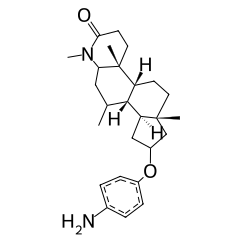 CC1CC2N(C)C(=O)CC[C@]2(C)[C@@H]2CC[C@]3(C)CC(Oc4ccc(N)cc4)C[C@H]3[C@H]12